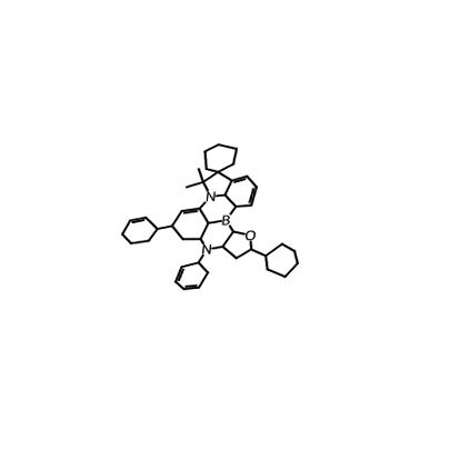 CC1(C)N2C3=CC(C4C=CCCC4)CC4C3B(C3C=CC=C(C32)C12CCCCC2)C1OC(C2CCCCC2)CC1N4C1C=CC=CC1